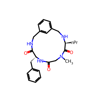 CCC[C@@H]1NCc2cccc(c2)CNC(=O)[C@@H](Cc2ccccc2)NC(=O)CN(C)C1=O